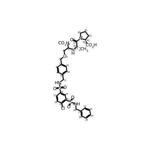 C[C@H](NC(COCc1ccc(CNS(=O)(=O)c2ccc(Cl)c(S(=O)(=O)NCc3ccccc3)c2)cc1)C(=O)O)C(=O)N1CCC[C@H]1C(=O)O